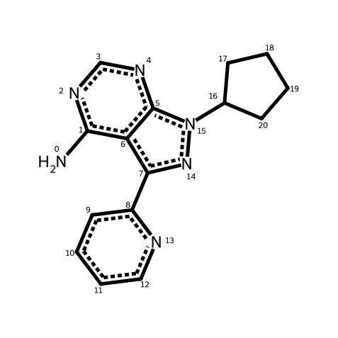 Nc1ncnc2c1c(-c1ccccn1)nn2C1CCCC1